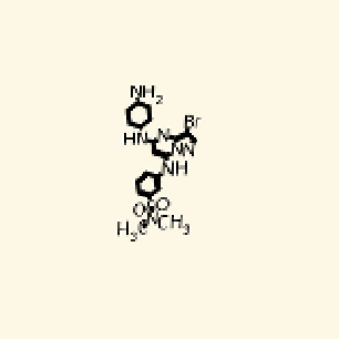 CN(C)S(=O)(=O)c1cccc(Nc2cc(N[C@H]3CC[C@H](N)CC3)nc3c(Br)cnn23)c1